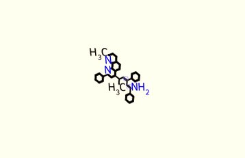 CCC(/C=C(\C=C(/N)c1ccccc1)c1ccccc1)c1cc(-c2ccccc2)nc2c1ccc1ccc(C)nc12